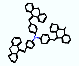 CC1c2ccccc2C(=Cc2ccc(N(c3ccc(C=C4c5ccccc5Cc5ccccc54)cc3)c3ccc(C=C4c5ccccc5Cc5ccccc54)cc3)cc2)c2ccccc21